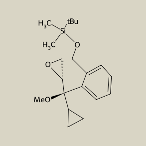 CO[C@@](c1ccccc1CO[Si](C)(C)C(C)(C)C)(C1CC1)[C@H]1CO1